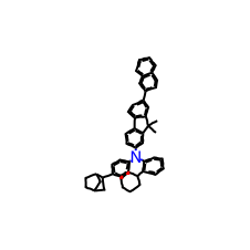 CC1(C)c2cc(-c3ccc4ccccc4c3)ccc2-c2ccc(N(c3ccc(C4CC5CCC4C5)cc3)c3ccccc3C3CCCCC3)cc21